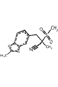 Cc1nc2cc(CC(C)(C#N)S(C)(=O)=O)ccc2o1